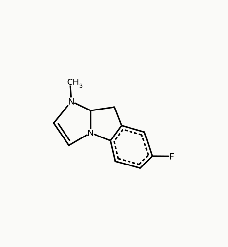 CN1C=CN2c3ccc(F)cc3CC12